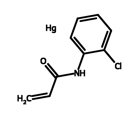 C=CC(=O)Nc1ccccc1Cl.[Hg]